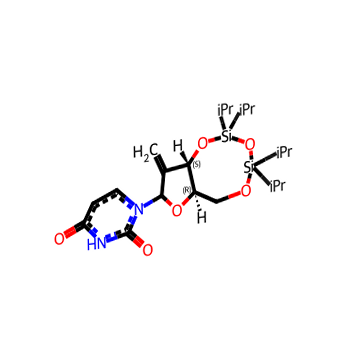 C=C1C(n2ccc(=O)[nH]c2=O)O[C@@H]2CO[Si](C(C)C)(C(C)C)O[Si](C(C)C)(C(C)C)O[C@@H]12